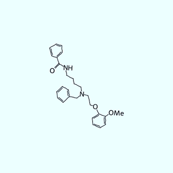 COc1ccccc1OCCN(CCCCNC(=O)c1ccccc1)Cc1ccccc1